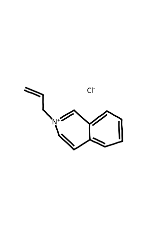 C=CC[n+]1ccc2ccccc2c1.[Cl-]